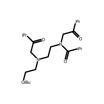 CC(C)COCCN(CCN(CC(=O)C(C)C)C(=O)C(C)C)CC(=O)C(C)C